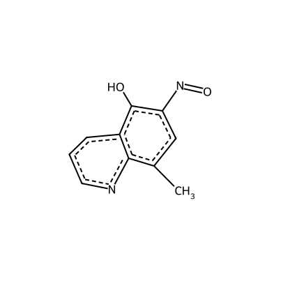 Cc1cc(N=O)c(O)c2cccnc12